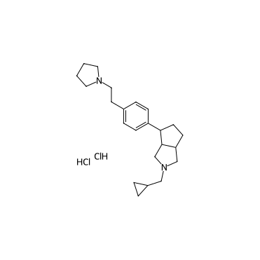 Cl.Cl.c1cc(C2CCC3CN(CC4CC4)CC32)ccc1CCN1CCCC1